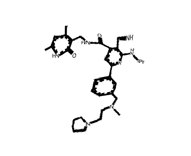 Cc1cc(C)c(CNC(=O)c2cc(-c3cccc(CN(C)CCN4CCCC4)c3)nc(NC(C)C)c2C=N)c(=O)[nH]1